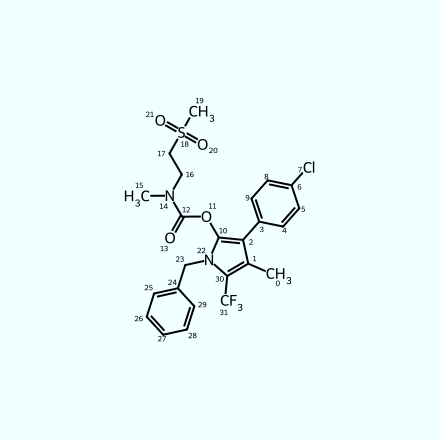 Cc1c(-c2ccc(Cl)cc2)c(OC(=O)N(C)CCS(C)(=O)=O)n(Cc2ccccc2)c1C(F)(F)F